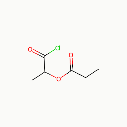 CCC(=O)OC(C)C(=O)Cl